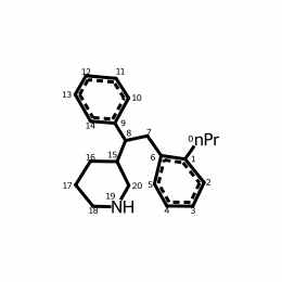 CCCc1ccccc1CC(c1ccccc1)C1CCCNC1